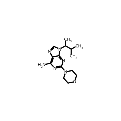 CC(C)C(C)n1cnc2c(N)nc(N3CCOCC3)nc21